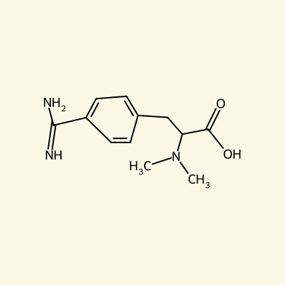 CN(C)C(Cc1ccc(C(=N)N)cc1)C(=O)O